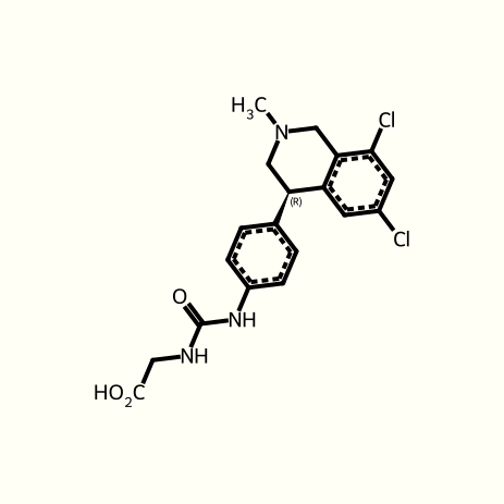 CN1Cc2c(Cl)cc(Cl)cc2[C@@H](c2ccc(NC(=O)NCC(=O)O)cc2)C1